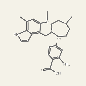 COc1cc(C)c2[nH]ccc2c1CN1CCN(C)CC[C@@H]1c1ccc(C(=O)O)c(N)c1